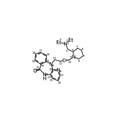 CCN(CC)CC1CCCCN1CCCCN1c2ccccc2C(=O)Nc2cccnc21